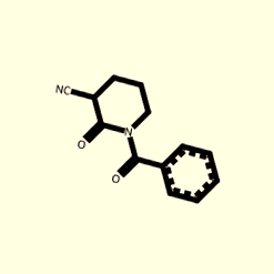 N#CC1CCCN(C(=O)c2ccccc2)C1=O